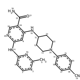 Cc1nccc(Nc2cc(NC3CCN(c4ccc(C#N)cc4)CC3)c(C(N)=O)cn2)n1